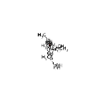 C=C(C)C(=O)OCC(CCCC(F)(F)C(F)(F)C(F)(F)C(F)(F)CCCCC)(CCOC(=O)C(=C)COCCCCC(CO)CO)COC(=O)C(=C)C